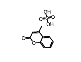 Cc1cc(=O)oc2ccccc12.O=S(=O)(O)O